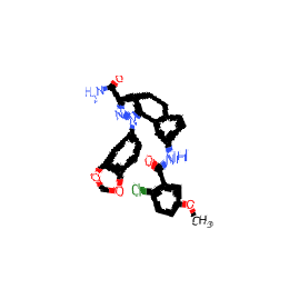 COc1ccc(Cl)c(C(=O)Nc2ccc3c(c2)-c2c(c(C(N)=O)nn2-c2ccc4c(c2)OCO4)CC3)c1